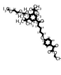 CCOC(=O)C(=O)c1ccc(OCCCCC(=O)c2cc(C(C)(C)C)c(OCOCCOC)c(C(C)(C)C)c2)cc1